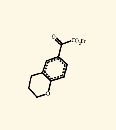 CCOC(=O)C(=O)c1ccc2c(c1)CCCO2